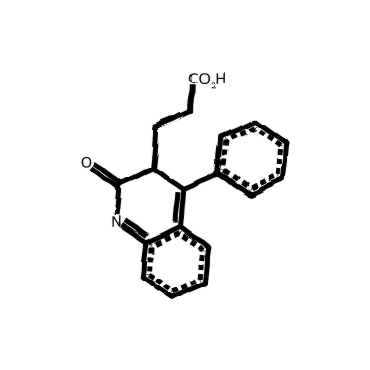 O=C(O)CCC1C(=O)N=c2ccccc2=C1c1ccccc1